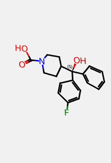 O=C(O)N1CCC([C@](O)(c2ccccc2)c2ccc(F)cc2)CC1